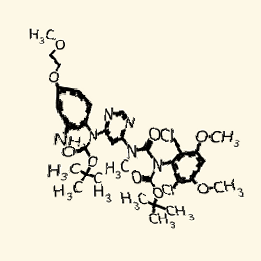 COCCOc1ccc(N(C(=O)OC(C)(C)C)c2cc(N(C)C(=O)N(C(=O)OC(C)(C)C)c3c(Cl)c(OC)cc(OC)c3Cl)ncn2)c(N)c1